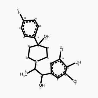 CC(C(O)c1cc(Cl)c(O)c(Cl)c1)N1CCC(O)(c2ccc(F)cc2)CC1